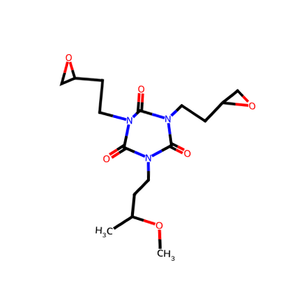 COC(C)CCn1c(=O)n(CCC2CO2)c(=O)n(CCC2CO2)c1=O